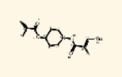 C=C(C)C(=O)OC1CCN(OC(=O)C(C)=CC(C)(C)C)CC1